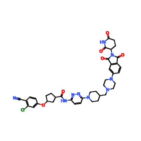 N#Cc1ccc(OC2CCC(C(=O)Nc3ccc(N4CCC(CN5CCN(c6ccc7c(c6)C(=O)N(C6CCC(=O)NC6=O)C7=O)CC5)CC4)nn3)C2)cc1Cl